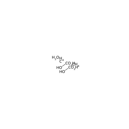 C.C.O.O=C(O)O.O=C(O)O